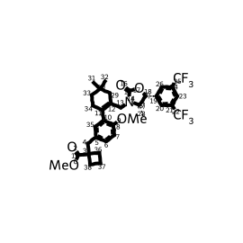 COC(=O)C1(Cc2ccc(OC)c(C3=C(CN4C(=O)O[C@H](c5cc(C(F)(F)F)cc(C(F)(F)F)c5)[C@@H]4C)CC(C)(C)CC3)c2)CCC1